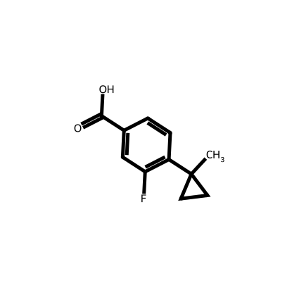 CC1(c2ccc(C(=O)O)cc2F)CC1